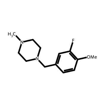 COc1ccc(CN2CCN(C)CC2)cc1F